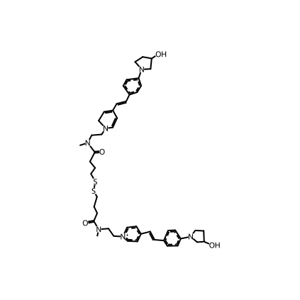 CN(CCN1C=CC(/C=C/c2ccc(N3CCC(O)C3)cc2)=CC1)C(=O)CCCSSCCCC(=O)N(C)CC[n+]1ccc(/C=C/c2ccc(N3CCC(O)C3)cc2)cc1